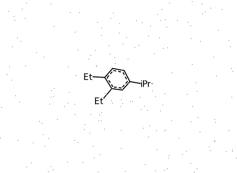 CCc1ccc([C](C)C)cc1CC